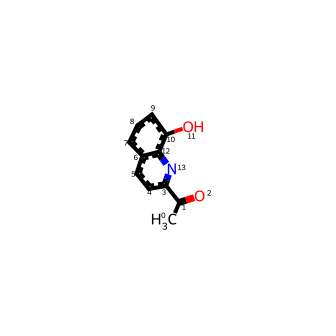 CC(=O)c1ccc2cccc(O)c2n1